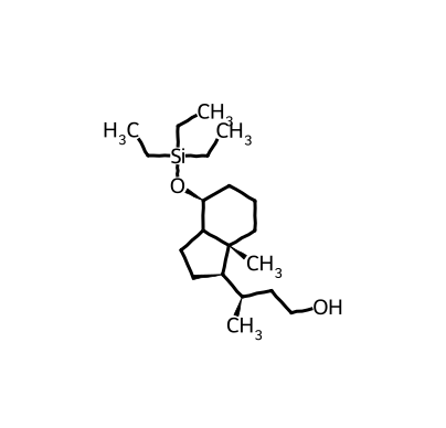 CC[Si](CC)(CC)O[C@H]1CCC[C@@]2(C)C1CC[C@@H]2[C@H](C)CCO